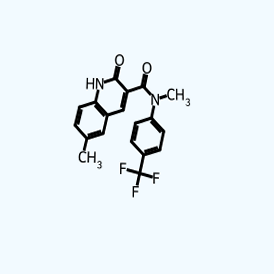 Cc1ccc2[nH]c(=O)c(C(=O)N(C)c3ccc(C(F)(F)F)cc3)cc2c1